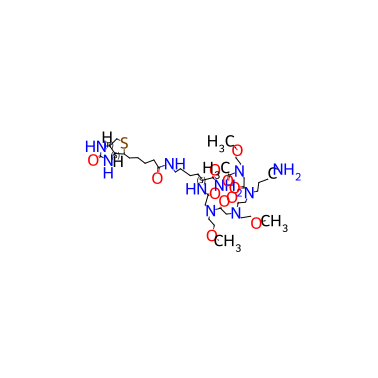 COCCN(CC(=O)N(CCCCN)CC(=O)N(CCOC)CC(=O)N(CCOC)CC(=O)N[C@@H](CCCCNC(=O)CCCCC1SC[C@@H]2NC(=O)N[C@H]12)C(N)=O)C(C)=O